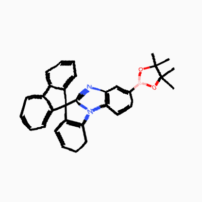 CC1(C)OB(c2ccc3c(c2)nc2n3C3=C(C=CCC3)C23c2ccccc2-c2ccccc23)OC1(C)C